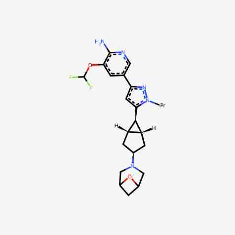 CC(C)n1nc(-c2cnc(N)c(OC(F)F)c2)cc1[C@H]1[C@@H]2C[C@@H](N3CC4CC(C3)O4)C[C@@H]21